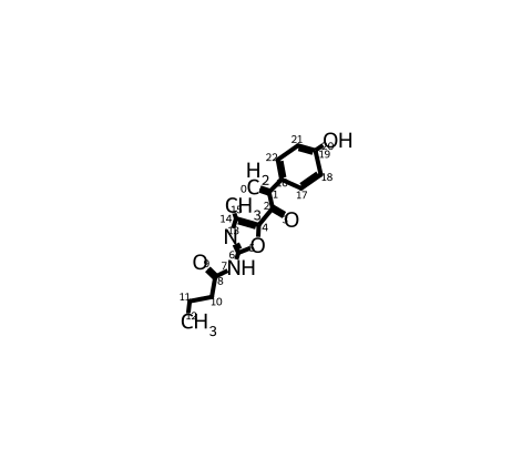 C=C(C(=O)c1oc(NC(=O)CCC)nc1C)c1ccc(O)cc1